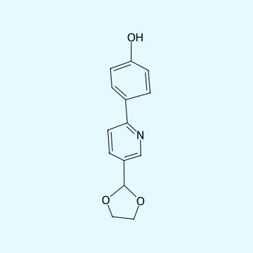 Oc1ccc(-c2ccc(C3OCCO3)cn2)cc1